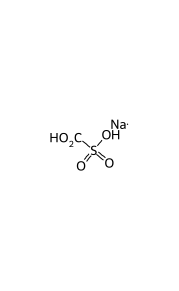 O=C(O)S(=O)(=O)O.[Na]